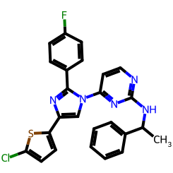 CC(Nc1nccc(-n2cc(-c3ccc(Cl)s3)nc2-c2ccc(F)cc2)n1)c1ccccc1